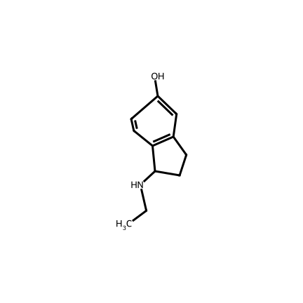 CCNC1CCc2cc(O)ccc21